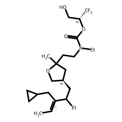 C/C=C(\CC1CC1)C(CC)C[C@H]1COC(C)(CCN(CC)C(=O)O[C@H](CO)C(F)(F)F)C1